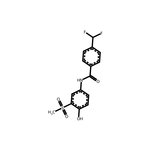 CS(=O)(=O)c1cc(NC(=O)c2ccc(C(F)F)cc2)ccc1O